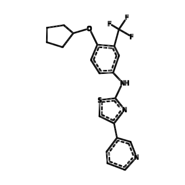 FC(F)(F)c1cc(Nc2nc(-c3cccnc3)cs2)ccc1OC1CCCC1